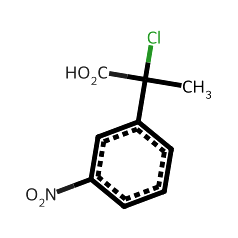 CC(Cl)(C(=O)O)c1cccc([N+](=O)[O-])c1